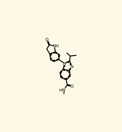 CNC(=O)c1ccc2c(c1)nc(C(C)C)n2-c1ccc2c(c1)NC(=O)C2